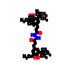 CCc1cc(CCC(=O)NNC(=O)CCc2cc(C(C)(C)C)c(O)c(C(C)(C)C)c2)cc(C(C)(C)C)c1O